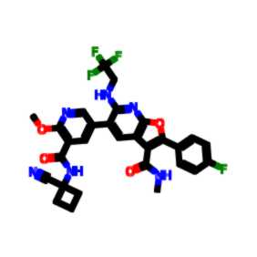 CNC(=O)c1c(-c2ccc(F)cc2)oc2nc(NCC(F)(F)F)c(-c3cnc(OC)c(C(=O)NC4(C#N)CCC4)c3)cc12